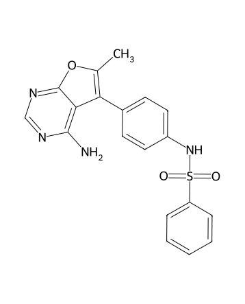 Cc1oc2ncnc(N)c2c1-c1ccc(NS(=O)(=O)c2ccccc2)cc1